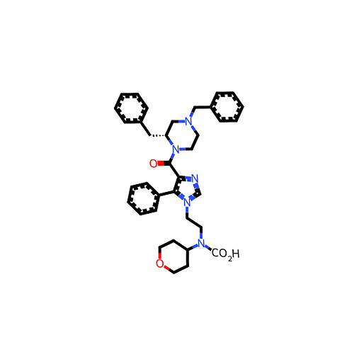 O=C(O)N(CCn1cnc(C(=O)N2CCN(Cc3ccccc3)C[C@H]2Cc2ccccc2)c1-c1ccccc1)C1CCOCC1